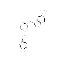 COc1ccc2[nH]cc(CC3=CCCN(CCc4ccc(N)cc4)C3)c2c1